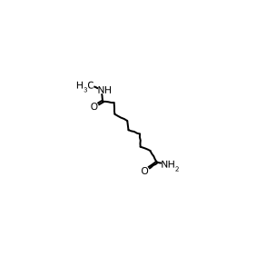 CNC(=O)CCCCCCCC(N)=O